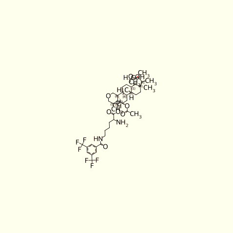 CC(=O)O[C@@H]1C[C@@]23COC[C@](C)([C@@H]2CC[C@H]2C3=CC[C@@]3(C)[C@H](C(=O)O)[C@@](C)([C@H](C)C(C)C)CC[C@]23C)[C@H]1OC(=O)C(N)CCCCNC(=O)c1cc(C(F)(F)F)cc(C(F)(F)F)c1